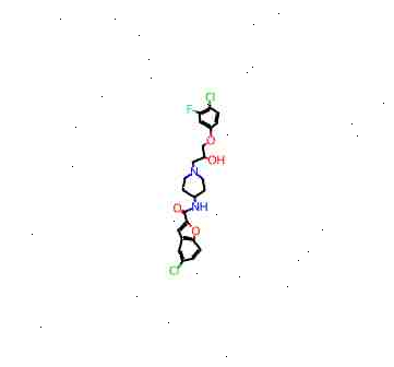 O=C(NC1CCN(CC(O)COc2ccc(Cl)c(F)c2)CC1)c1cc2cc(Cl)ccc2o1